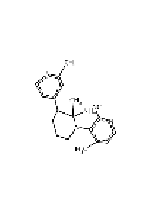 Cc1cc(C2CCCN(c3c(C)ccnc3C#N)C2(C)N)ccn1